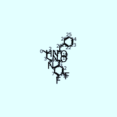 CC(C)Cc1nc2cc(F)c(F)cc2c(=O)n1NC(=O)Cc1ccccc1